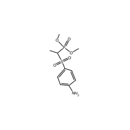 COP(=O)(OC)C(C)S(=O)(=O)c1ccc(N)cc1